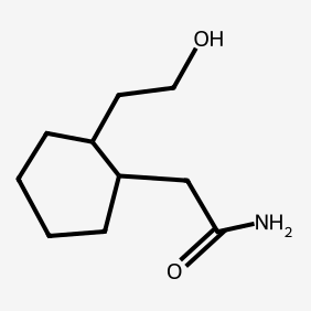 NC(=O)CC1CCCCC1CCO